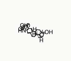 COc1cc2c(cc1NS(=O)(=O)O)CC[C@@H]1[C@@H]2CC[C@]2(C)[C@@H](O)C[C@@H]3C[C@]312